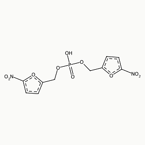 O=[N+]([O-])c1ccc(COP(=O)(O)OCc2ccc([N+](=O)[O-])o2)o1